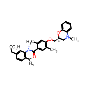 Cc1ccc(CC(=O)O)cc1NC(=O)c1cc(C)c(OC[C@@H]2CN(C)c3ccccc3O2)cc1C